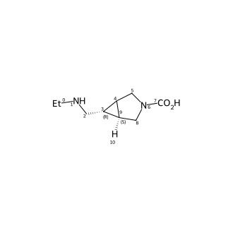 CCNC[C@@H]1C2CN(C(=O)O)C[C@H]21